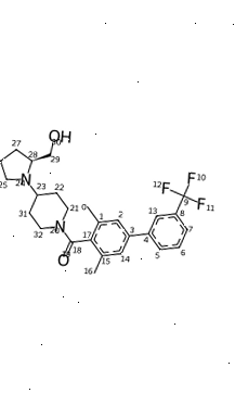 Cc1cc(-c2cccc(C(F)(F)F)c2)cc(C)c1C(=O)N1CCC(N2CCC[C@H]2CO)CC1